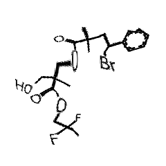 CC(F)(F)COC(=O)C(C)(CO)COC(=O)C(C)(C)CC(Br)c1ccccc1